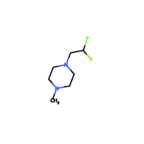 CN1CCN(CC(F)F)CC1